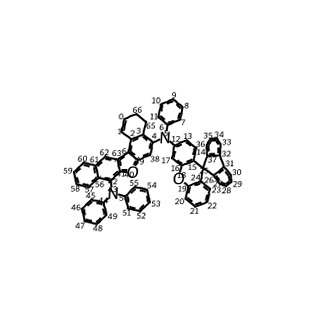 C1=Cc2c(c(N(c3ccccc3)c3ccc4c(c3)Oc3ccccc3C43c4ccccc4-c4ccccc43)cc3oc4c(N(c5ccccc5)c5ccccc5)c5ccccc5cc4c23)CC1